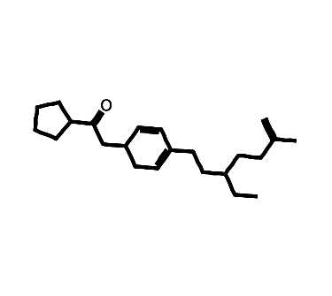 C=C(C)CCC(CC)CCC1=CCC(CC(=O)C2CCCC2)C=C1